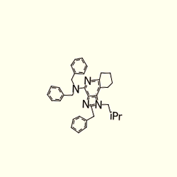 CC(C)Cn1c(Cc2ccccc2)nc2c(N(Cc3ccccc3)Cc3ccccc3)nc3c(c21)CCCC3